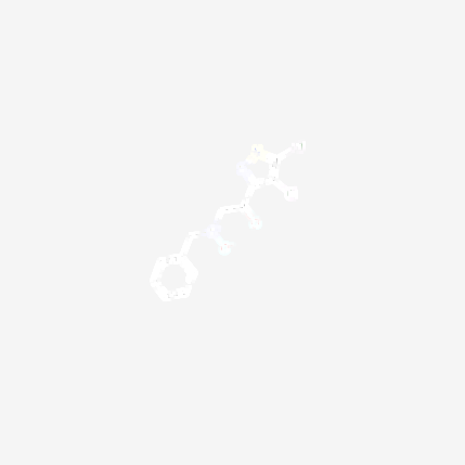 O=C(C[S+]([O-])Cc1ccccc1)c1snc(Cl)c1Cl